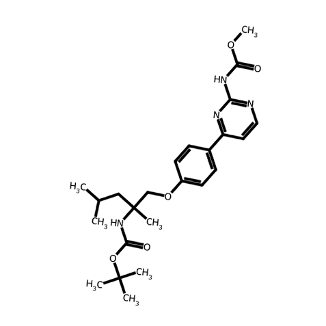 COC(=O)Nc1nccc(-c2ccc(OCC(C)(CC(C)C)NC(=O)OC(C)(C)C)cc2)n1